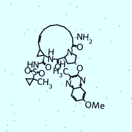 COc1ccc2nc(C)c(O[C@@H]3C[C@H]4C(=O)N[C@]5(C(=O)NS(=O)(=O)C6(C)CC6)CC5/C=C\CCCCC[C@H](N)C(=O)N4C3)nc2c1